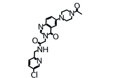 CC(=O)N1CCN(c2ccc3ncn(CC(=O)NCc4ccc(Cl)cn4)c(=O)c3c2)CC1